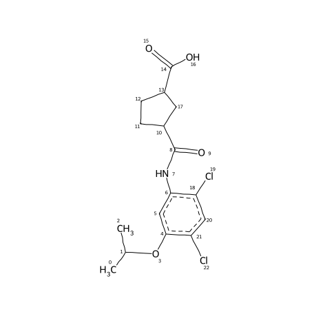 CC(C)Oc1cc(NC(=O)C2CCC(C(=O)O)C2)c(Cl)cc1Cl